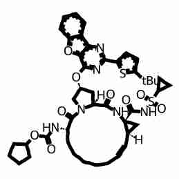 CC(C)(C)c1ccc(-c2nc(O[C@@H]3C[C@H]4C(=O)N[C@]5(C(=O)NS(=O)(=O)C6CC6)C[C@H]5/C=C\CCCCC[C@H](NC(=O)OC5CCCC5)C(=O)N4C3)c3oc4ccccc4c3n2)s1